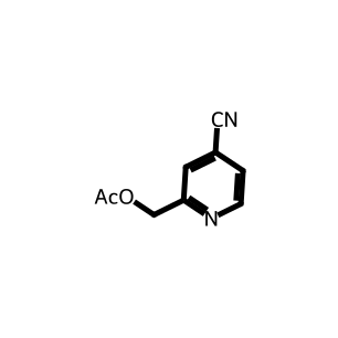 CC(=O)OCc1cc(C#N)ccn1